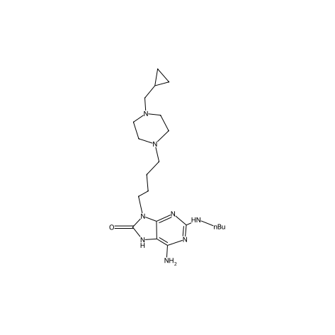 CCCCNc1nc(N)c2[nH]c(=O)n(CCCCN3CCN(CC4CC4)CC3)c2n1